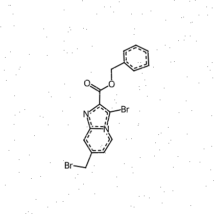 O=C(OCc1ccccc1)c1nc2cc(CBr)ccn2c1Br